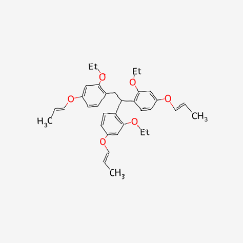 CC=COc1ccc(CC(c2ccc(OC=CC)cc2OCC)c2ccc(OC=CC)cc2OCC)c(OCC)c1